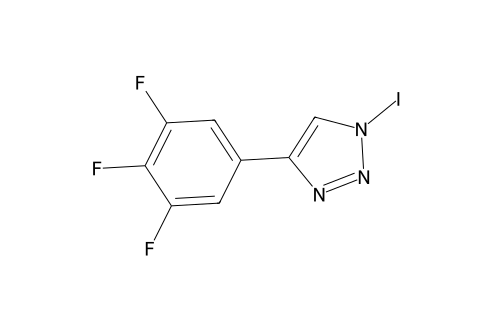 Fc1cc(-c2cn(I)nn2)cc(F)c1F